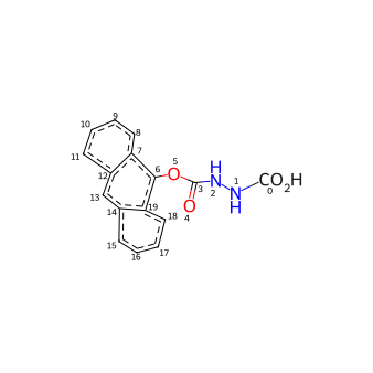 O=C(O)NNC(=O)Oc1c2ccccc2cc2ccccc12